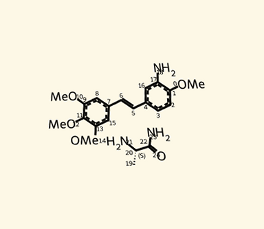 COc1ccc(C=Cc2cc(OC)c(OC)c(OC)c2)cc1N.C[C@H](N)C(N)=O